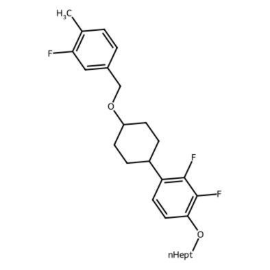 CCCCCCCOc1ccc(C2CCC(OCc3ccc(C)c(F)c3)CC2)c(F)c1F